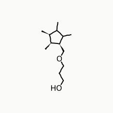 CC1C(C)[C@H](C)[C@H](C)[C@@H]1COCCCO